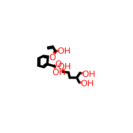 C=CC(=O)O.O=C(O)c1ccccc1.OCCCC(CO)CO